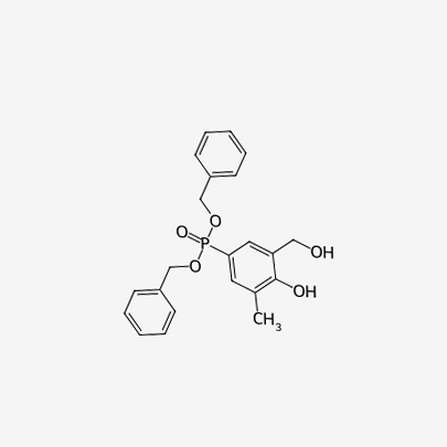 Cc1cc(P(=O)(OCc2ccccc2)OCc2ccccc2)cc(CO)c1O